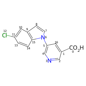 O=C(O)c1cncc(-n2ccc3cc(Cl)ccc32)c1